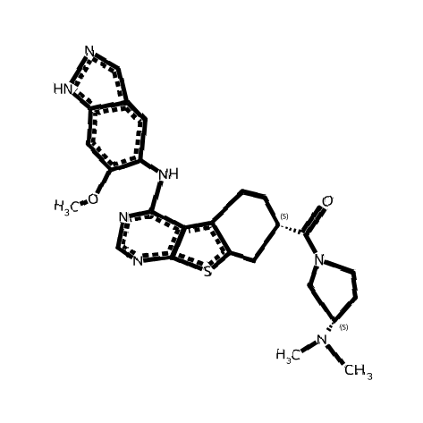 COc1cc2[nH]ncc2cc1Nc1ncnc2sc3c(c12)CC[C@H](C(=O)N1CC[C@H](N(C)C)C1)C3